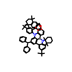 CC(C)(C)c1ccc(N2c3cc(C(c4ccccc4)c4ccccc4)cc4c3B(c3ccc5oc6cc7c(cc6c5c32)C(C)(C)CCC7(C)C)N2c3c-4cc(C(C)(C)C)cc3C3(C)CCCCC23C)c(-c2ccccc2)c1